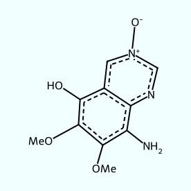 COc1c(OC)c(N)c2nc[n+]([O-])cc2c1O